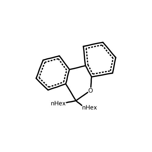 CCCCCCC1(CCCCCC)Oc2ccccc2-c2ccccc21